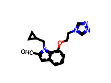 O=Cc1cc2cccc(OCCn3cnnc3)c2n1CC1CC1